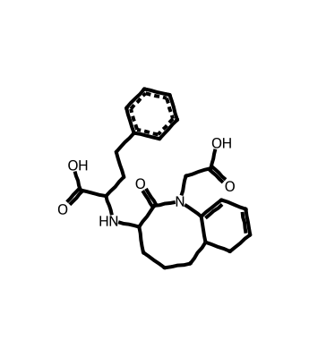 O=C(O)CN1C(=O)C(NC(CCc2ccccc2)C(=O)O)CCCC2CC=CC=C21